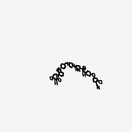 N#Cc1ccc(OC2CCC(NC(=O)c3ccc(N4CCN(CC5CCC(n6ccc7c(N8CCC(=O)NC8=O)cccc76)CC5)CC4)nn3)CC2)cc1Cl